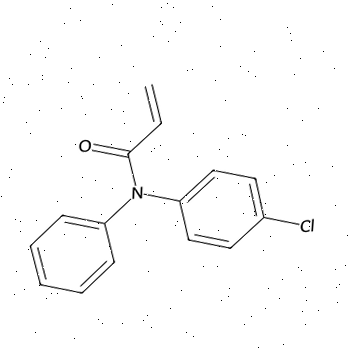 C=CC(=O)N(c1ccccc1)c1ccc(Cl)cc1